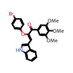 COc1cc(C(=O)C(=Cc2c[nH]c3ccccc23)Oc2ccc(Br)cc2)cc(OC)c1OC